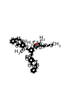 COCCOCCOCCN(CC(C)(C)SC(C)S)c1cc(COc2cc3c(cc2OC)C(=O)N2c4ccccc4C[C@H]2C=N3)cc(COc2cc3c(cc2OC)C(=O)N2c4ccccc4C[C@H]2CN3)c1